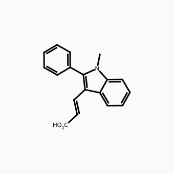 Cn1c(-c2ccccc2)c(C=CC(=O)O)c2ccccc21